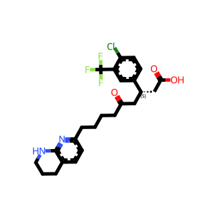 O=C(O)C[C@H](CC(=O)CCCCc1ccc2c(n1)NCCC2)c1ccc(Cl)c(C(F)(F)F)c1